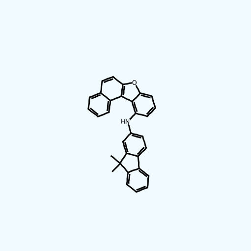 CC1(C)c2ccccc2-c2ccc(Nc3cccc4oc5ccc6ccccc6c5c34)cc21